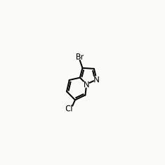 Clc1ccc2c(Br)cnn2c1